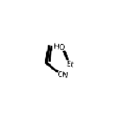 C=CC#N.CCO